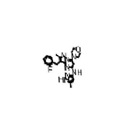 Cc1cc(Nc2cc(N3CCOCC3)n3nc(C)c(Cc4ccccc4F)c3n2)n[nH]1